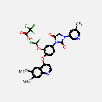 COc1cc2nccc(Oc3ccc(N4C(=O)CN(c5cncc(C(F)(F)F)c5)C4=O)cc3OC(F)F)c2cc1OC.O=C(O)C(F)(F)F